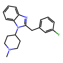 CN1CCC(n2c(Cc3cccc(F)c3)nc3ccccc32)CC1